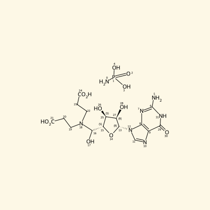 NP(=O)(O)O.Nc1nc2c(ncn2[C@@H]2O[C@H](C(O)N(CCC(=O)O)CCC(=O)O)[C@@H](O)[C@H]2O)c(=O)[nH]1